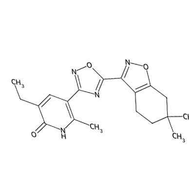 CCc1cc(-c2noc(-c3noc4c3CCC(C)(C)C4)n2)c(C)[nH]c1=O